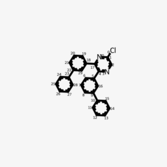 Clc1cnc(-c2cccc(-c3ccccc3)c2)c(-c2cccc(-c3ccccc3)c2)n1